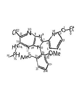 CCOc1cccc(-c2nc3nc(Cl)c(NPC)nc3n2-c2c(OC)cccc2OC)n1